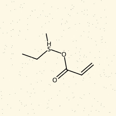 C=CC(=O)O[SH](C)CC